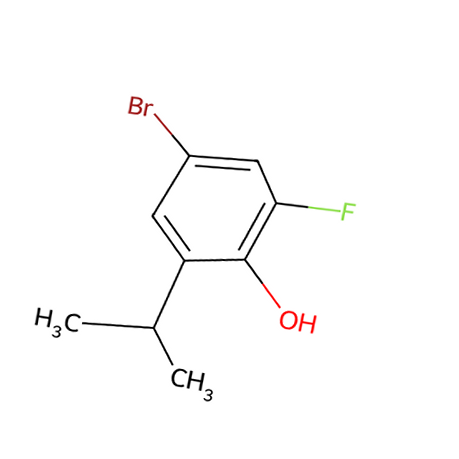 CC(C)c1cc(Br)cc(F)c1O